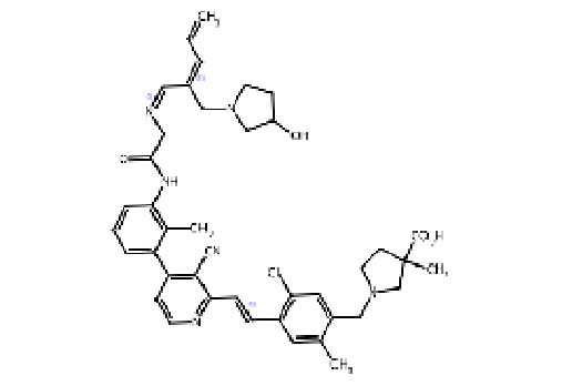 C=C/C=C(\C=N/CC(=O)Nc1cccc(-c2ccnc(/C=C/c3cc(C)c(CN4CCC(C)(C(=O)O)C4)cc3Cl)c2C#N)c1C)CN1CCC(O)C1